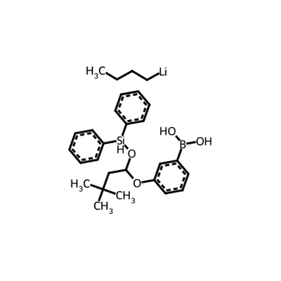 CC(C)(C)CC(Oc1cccc(B(O)O)c1)O[SiH](c1ccccc1)c1ccccc1.[Li][CH2]CCC